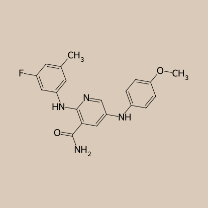 COc1ccc(Nc2cnc(Nc3cc(C)cc(F)c3)c(C(N)=O)c2)cc1